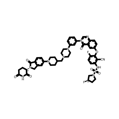 N#Cc1c(NS(=O)(=O)N2CC[C@@H](F)C2)ccc(F)c1Oc1ccc2ncn(-c3cccc(N4CCN(CC5CCN(c6ccc7c(c6)CN([C@H]6CCC(=O)NC6=O)C7=O)CC5)CC4)c3)c(=O)c2c1